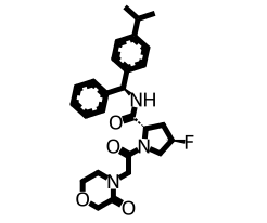 CC(C)c1ccc([C@@H](NC(=O)[C@@H]2C[C@@H](F)CN2C(=O)CN2CCOCC2=O)c2ccccc2)cc1